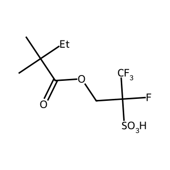 CCC(C)(C)C(=O)OCC(F)(C(F)(F)F)S(=O)(=O)O